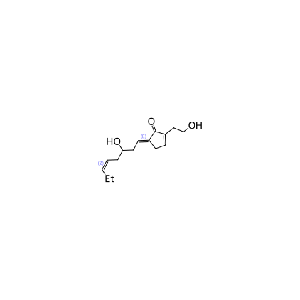 CC/C=C\CC(O)C/C=C1\CC=C(CCO)C1=O